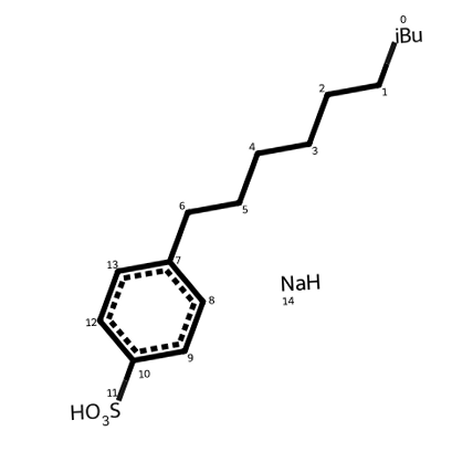 CCC(C)CCCCCCc1ccc(S(=O)(=O)O)cc1.[NaH]